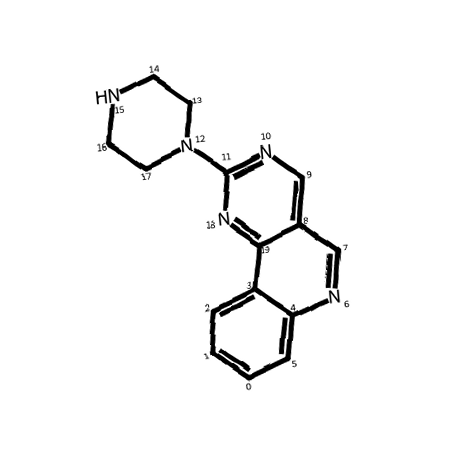 c1ccc2c(c1)ncc1cnc(N3CCNCC3)nc12